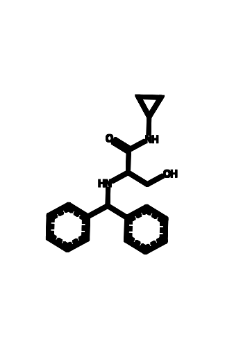 O=C(NC1CC1)C(CO)NC(c1ccccc1)c1ccccc1